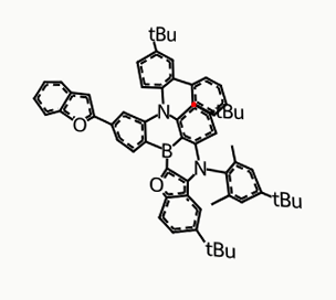 Cc1cc(C(C)(C)C)cc(C)c1N1c2cc(C(C)(C)C)cc3c2B(c2ccc(-c4cc5ccccc5o4)cc2N3c2ccc(C(C)(C)C)cc2-c2ccccc2)c2oc3ccc(C(C)(C)C)cc3c21